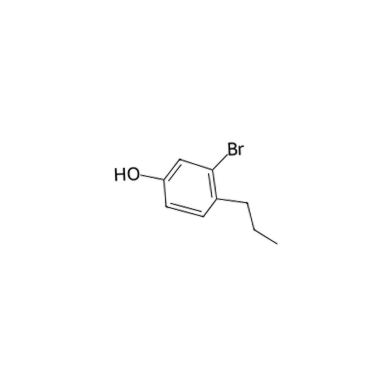 CCCc1ccc(O)cc1Br